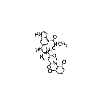 CN(C)C(=O)c1cc(Nc2ncc3c(n2)OCN(c2c(Cl)cccc2Cl)C3=O)cc2[nH]ccc12